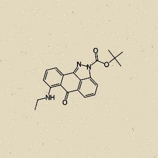 CCNc1cccc2c1C(=O)c1cccc3c1c-2nn3C(=O)OC(C)(C)C